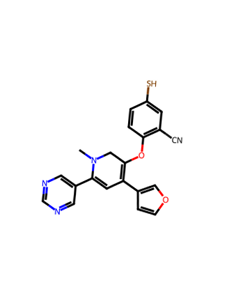 CN1CC(Oc2ccc(S)cc2C#N)=C(c2ccoc2)C=C1c1cncnc1